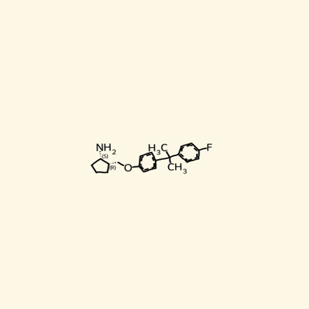 CC(C)(c1ccc(F)cc1)c1ccc(OC[C@@H]2CCC[C@@H]2N)cc1